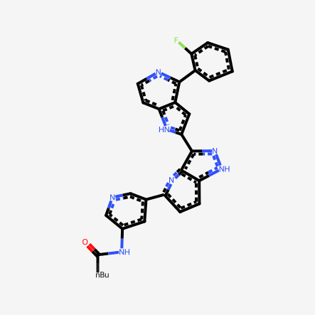 CCCCC(=O)Nc1cncc(-c2ccc3[nH]nc(-c4cc5c(-c6ccccc6F)nccc5[nH]4)c3n2)c1